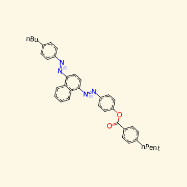 CCCCCc1ccc(C(=O)Oc2ccc(/N=N/c3ccc(/N=N/c4ccc(CCCC)cc4)c4ccccc34)cc2)cc1